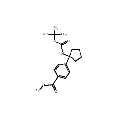 COC(=O)c1ccc(C2(NC(=O)OC(C)(C)C)CCCC2)cc1